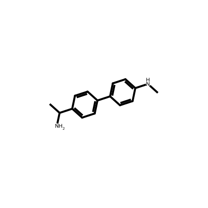 CNc1ccc(-c2ccc(C(C)N)cc2)cc1